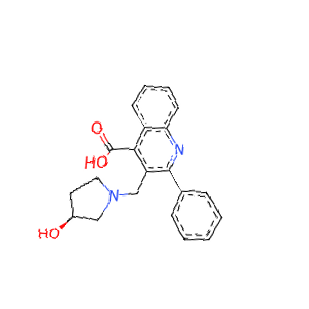 O=C(O)c1c(CN2CC[C@H](O)C2)c(-c2ccccc2)nc2ccccc12